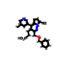 CCc1ccc2c(-c3cncc(C)c3)c(CCC(=O)O)c(COCc3ccccc3)nn12